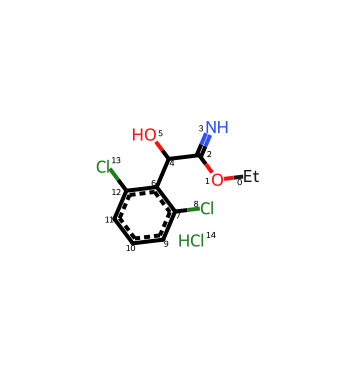 CCOC(=N)C(O)c1c(Cl)cccc1Cl.Cl